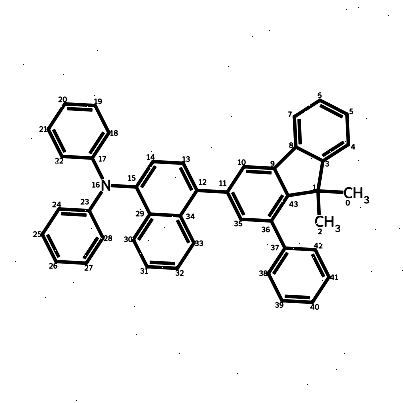 CC1(C)c2ccccc2-c2cc(-c3ccc(N(c4ccccc4)c4ccccc4)c4ccccc34)cc(-c3ccccc3)c21